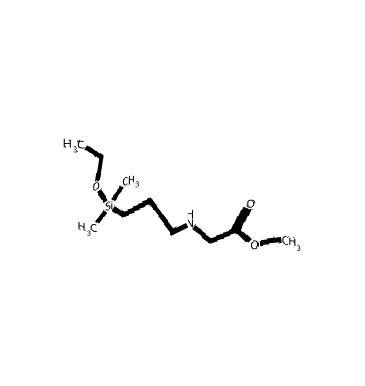 CCO[Si](C)(C)CCCNCC(=O)OC